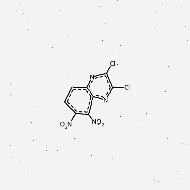 O=[N+]([O-])c1ccc2nc(Cl)c(Cl)nc2c1[N+](=O)[O-]